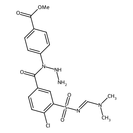 COC(=O)c1ccc(N(NN)C(=O)c2ccc(Cl)c(S(=O)(=O)N=CN(C)C)c2)cc1